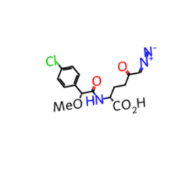 CO[C@H](C(=O)N[C@@H](CCC(=O)C=[N+]=[N-])C(=O)O)c1ccc(Cl)cc1